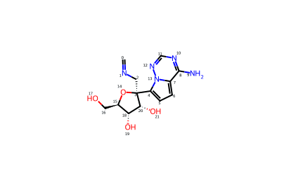 C=NC[C@@]1(c2ccc3c(N)ncnn23)O[C@H](CO)[C@@H](O)[C@H]1O